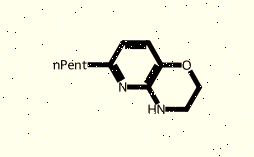 CCCCCc1ccc2c(n1)NCCO2